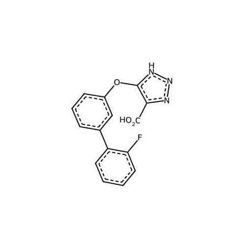 O=C(O)c1nn[nH]c1Oc1cccc(-c2ccccc2F)c1